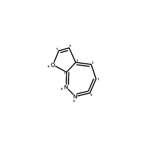 C1=CC=c2ccoc2=NN=1